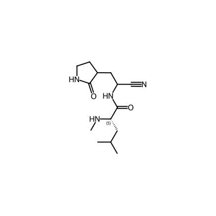 CN[C@@H](CC(C)C)C(=O)NC(C#N)CC1CCNC1=O